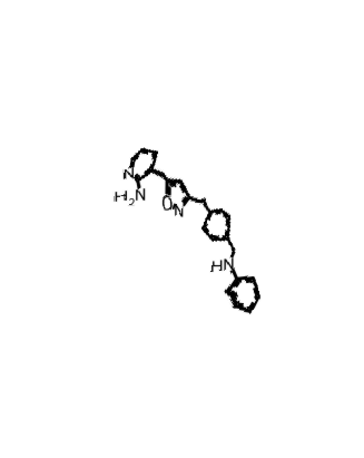 Nc1ncccc1-c1cc(Cc2ccc(CNc3ccccc3)cc2)no1